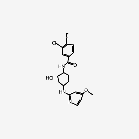 COc1ccnc(NC2CCC(NC(=O)c3ccc(F)c(Cl)c3)CC2)c1.Cl